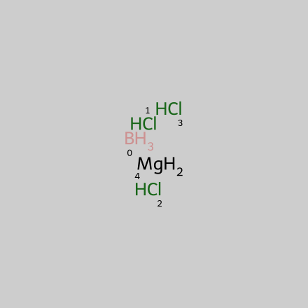 B.Cl.Cl.Cl.[MgH2]